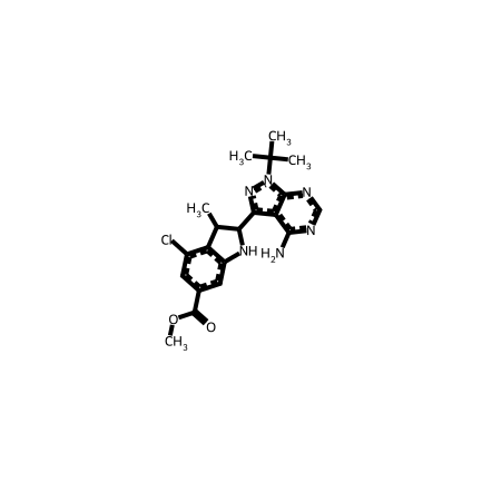 COC(=O)c1cc(Cl)c2c(c1)NC(c1nn(C(C)(C)C)c3ncnc(N)c13)C2C